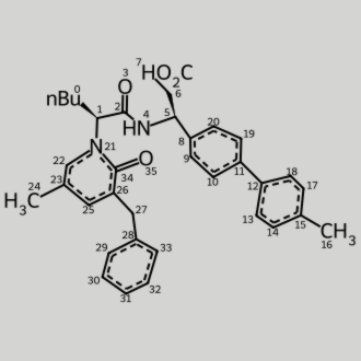 CCCC[C@@H](C(=O)N[C@@H](CC(=O)O)c1ccc(-c2ccc(C)cc2)cc1)n1cc(C)cc(Cc2ccccc2)c1=O